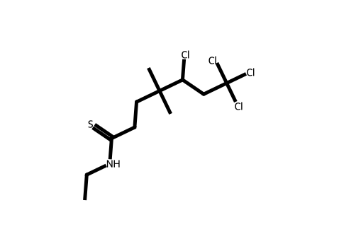 CCNC(=S)CCC(C)(C)C(Cl)CC(Cl)(Cl)Cl